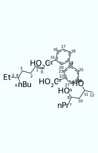 C=CCCC(CC)CCCC.CCCC(O)CC(C)O.O=C(O)c1ccccc1.O=C(O)c1ccccc1